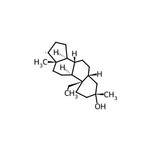 CC[C@]12CC[C@@](C)(O)C[C@H]1CC[C@@H]1[C@@H]2CC[C@]2(C)[CH]CC[C@@H]12